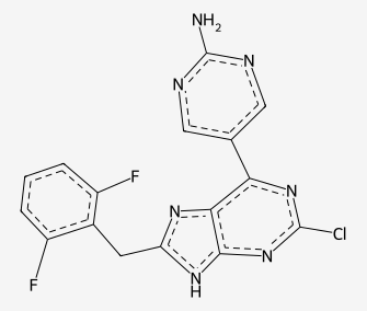 Nc1ncc(-c2nc(Cl)nc3[nH]c(Cc4c(F)cccc4F)nc23)cn1